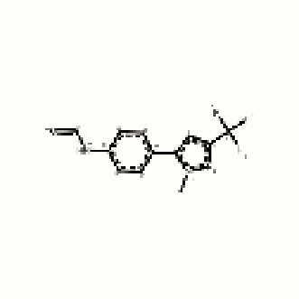 Cn1nc(C(F)(F)F)cc1-c1ccc(NC=O)cc1